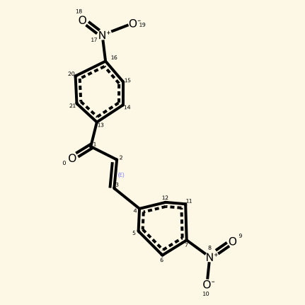 O=C(/C=C/c1ccc([N+](=O)[O-])cc1)c1ccc([N+](=O)[O-])cc1